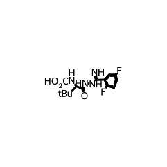 CC(C)(C)C(NC(=O)O)C(=O)NNC(=N)c1cc(F)ccc1F